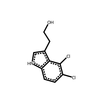 OCCc1c[nH]c2ccc(Cl)c(Cl)c12